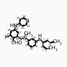 C=C/C=C(\C=C/C)Nc1cccc(N(C)Cc2cc(Nc3ccncc3)cc(F)c2C=O)c1